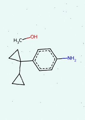 CO.Nc1ccc(C2(C3CC3)CC2)cc1